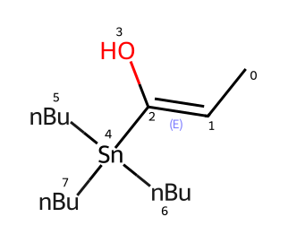 C/C=[C](\O)[Sn]([CH2]CCC)([CH2]CCC)[CH2]CCC